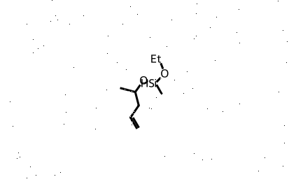 C=CCC(C)O[SiH](C)OCC